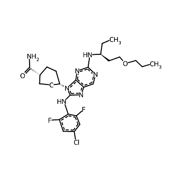 CCCOCC[C@H](CC)Nc1ncc2nc(Nc3c(F)cc(Cl)cc3F)n([C@H]3CC[C@@H](C(N)=O)CC3)c2n1